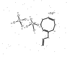 C=CCC1=CCCC=CCC1.[O-][Cl+3]([O-])([O-])[O-].[O-][Cl+3]([O-])([O-])[O-].[Pd+2]